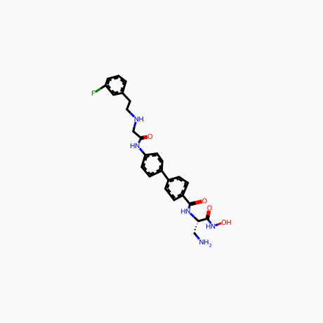 NC[C@H](NC(=O)c1ccc(-c2ccc(NC(=O)CNCCc3cccc(F)c3)cc2)cc1)C(=O)NO